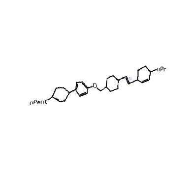 CCCCCC1CCC(c2ccc(OCC3CCC(/C=C/C4C=CC(CCC)CC4)CC3)cc2)CC1